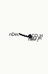 CCCCCCCCCCCCCCCCCCc1ccc(C(=O)O)c(C(=O)O)c1CCCC